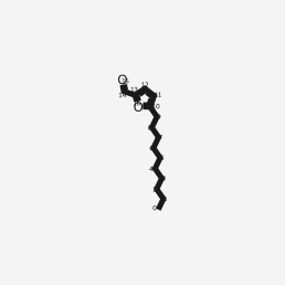 CCCCCCCCCCc1ccc(C=O)o1